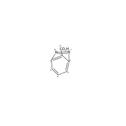 O=C(O)c1c2cccc1N=N2